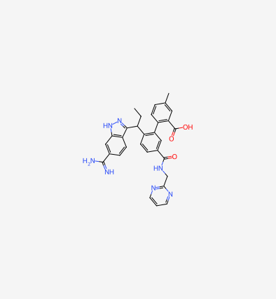 CCC(c1ccc(C(=O)NCc2ncccn2)cc1-c1ccc(C)cc1C(=O)O)c1n[nH]c2cc(C(=N)N)ccc12